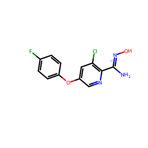 N/C(=N\O)c1ncc(Oc2ccc(F)cc2)cc1Cl